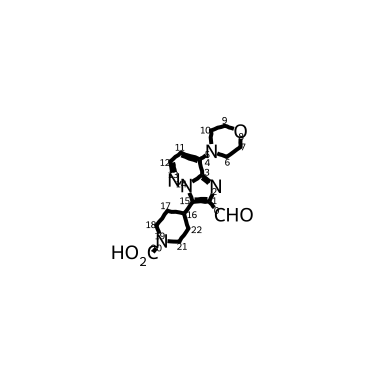 O=Cc1nc2c(N3CCOCC3)ccnn2c1C1CCN(C(=O)O)CC1